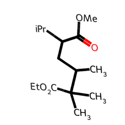 CCOC(=O)C(C)(C)C(C)CC(C(=O)OC)C(C)C